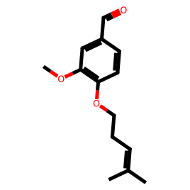 COc1cc(C=O)ccc1OCCC=C(C)C